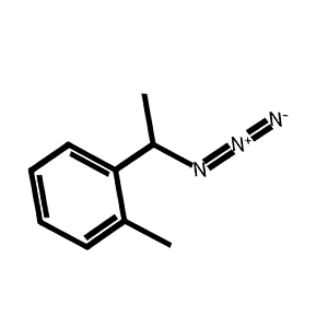 Cc1ccccc1C(C)N=[N+]=[N-]